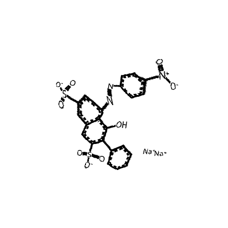 O=[N+]([O-])c1ccc(N=Nc2cc(S(=O)(=O)[O-])cc3cc(S(=O)(=O)[O-])c(-c4ccccc4)c(O)c23)cc1.[Na+].[Na+]